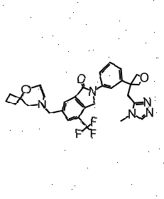 Cn1cnnc1CC1(c2cccc(N3Cc4c(cc(CN5CCOC6(CCC6)C5)cc4C(F)(F)F)C3=O)c2)COC1